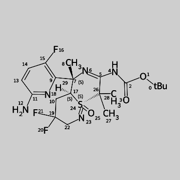 CC(C)(C)OC(=O)NC1=N[C@@](C)(c2nc(N)ccc2F)[C@@H]2CC(F)(F)CN=[S@@]2(=O)C1(C)C